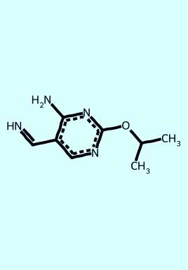 CC(C)Oc1ncc(C=N)c(N)n1